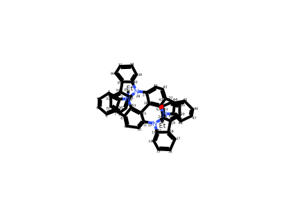 CCn1c2ccccc2c2ccc(-n3c4ccccc4c4ccccc43)c(-c3c(-n4c5ccccc5c5ccccc54)ccc4c5ccccc5n(CC)c34)c21